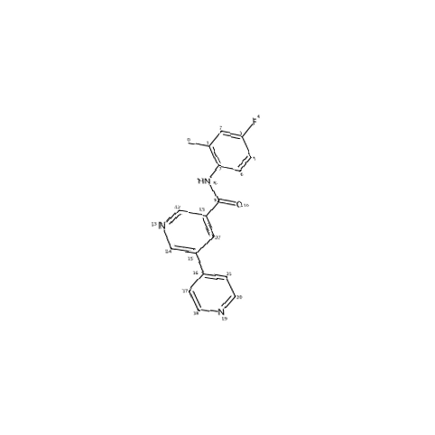 Cc1cc(F)ccc1NC(=O)c1cncc(-c2ccncc2)c1